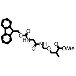 COC(=O)C(C)COCNC(=O)CNC(=O)OCC1c2ccccc2-c2ccccc21